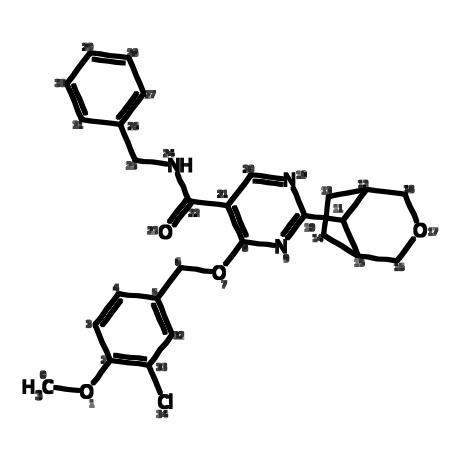 COc1ccc(COc2nc(C3C4CCC3COC4)ncc2C(=O)NCc2ccccc2)cc1Cl